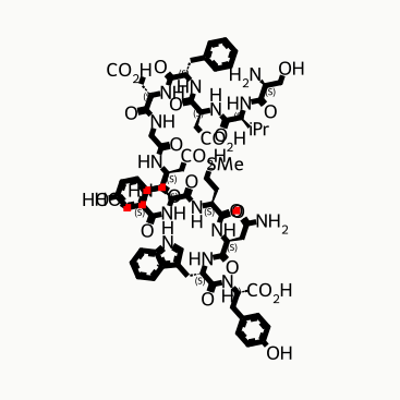 CSCC[C@H](NC(=O)[C@H](Cc1ccc(O)cc1)NC(=O)[C@H](CO)NC(=O)[C@H](CC(=O)O)NC(=O)CNC(=O)[C@H](CC(=O)O)NC(=O)[C@H](Cc1ccccc1)NC(=O)[C@H](CC(=O)O)NC(=O)[C@@H](NC(=O)[C@@H](N)CO)C(C)C)C(=O)N[C@@H](CC(N)=O)C(=O)N[C@@H](Cc1c[nH]c2ccccc12)C(=O)N[C@@H](Cc1ccc(O)cc1)C(=O)O